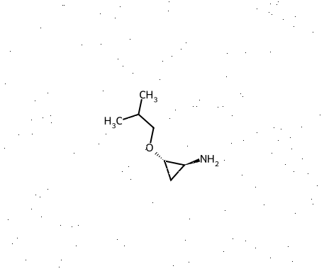 CC(C)CO[C@H]1C[C@@H]1N